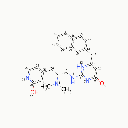 CN(C)[C@@H](CNc1nc(=O)cc(Cc2ccc3ccccc3c2)[nH]1)Cc1ccnc(O)c1